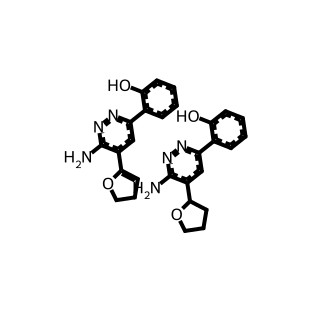 Nc1nnc(-c2ccccc2O)cc1C1=CCCO1.Nc1nnc(-c2ccccc2O)cc1C1CCCO1